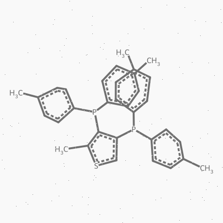 Cc1ccc(P(c2ccc(C)cc2)c2csc(C)c2P(c2ccc(C)cc2)c2ccc(C)cc2)cc1